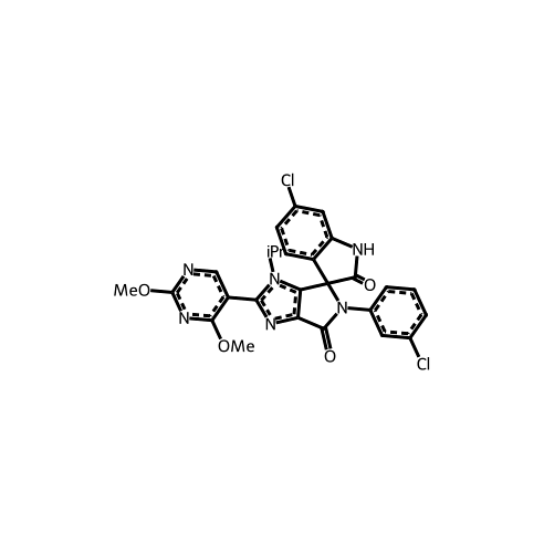 COc1ncc(-c2nc3c(n2C(C)C)C2(C(=O)Nc4cc(Cl)ccc42)N(c2cccc(Cl)c2)C3=O)c(OC)n1